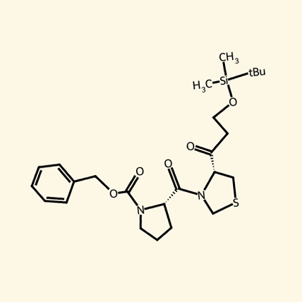 CC(C)(C)[Si](C)(C)OCCC(=O)[C@@H]1CSCN1C(=O)[C@@H]1CCCN1C(=O)OCc1ccccc1